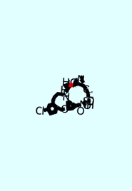 C[C@@H]1[C@@H](C)CCC[C@@](O)(CN(C)C)[C@@H]2CC[C@H]2CN2CCCCc3cc(Cl)ccc3COc3ccc(cc32)C(=O)NS1(=O)=O